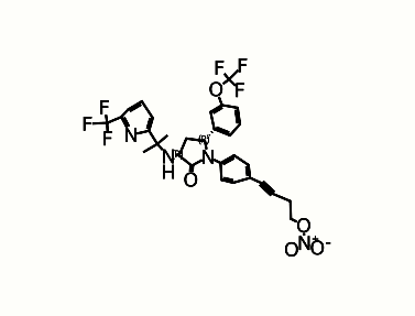 CC(C)(N[C@@H]1C[C@H](c2cccc(OC(F)(F)F)c2)N(c2ccc(C#CCCO[N+](=O)[O-])cc2)C1=O)c1cccc(C(F)(F)F)n1